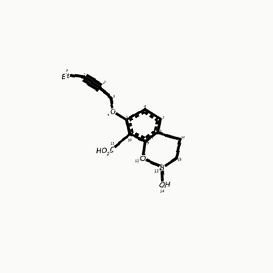 CCC#CCOc1ccc2c(c1C(=O)O)OB(O)CC2